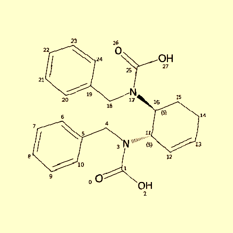 O=C(O)N(Cc1ccccc1)[C@H]1C=CCC[C@@H]1N(Cc1ccccc1)C(=O)O